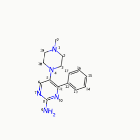 CN1CCN(c2cnc(N)nc2-c2ccccc2)CC1